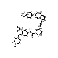 CN1CCN(Cc2ccc(NC(=O)c3cncc(C#Cc4cnc5ccc(N6CCC7(CC6)COC7)nn45)c3)cc2C(F)(F)F)CC1